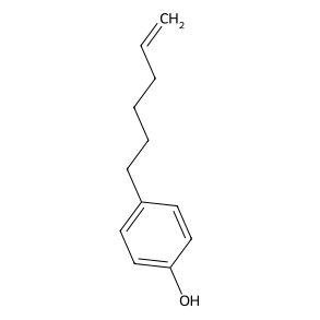 C=CCCCCc1ccc(O)cc1